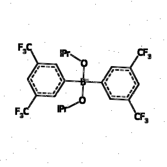 CC(C)O[B-](OC(C)C)(c1cc(C(F)(F)F)cc(C(F)(F)F)c1)c1cc(C(F)(F)F)cc(C(F)(F)F)c1